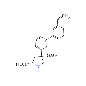 C=Cc1cccc(-c2cccc(C3(OC)CNC(C(=O)O)C3)c2)c1